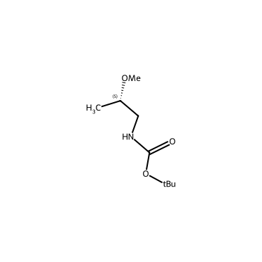 CO[C@@H](C)CNC(=O)OC(C)(C)C